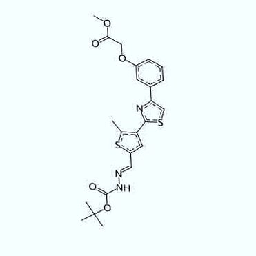 COC(=O)COc1cccc(-c2csc(-c3cc(C=NNC(=O)OC(C)(C)C)sc3C)n2)c1